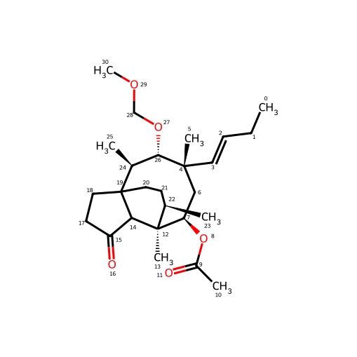 CC/C=C/[C@]1(C)C[C@@H](OC(C)=O)[C@@]2(C)C3C(=O)CCC3(CC[C@H]2C)[C@@H](C)[C@@H]1OCOC